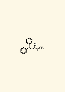 FC(F)(F)SC(Cl)CC(c1ccccc1)c1ccccc1